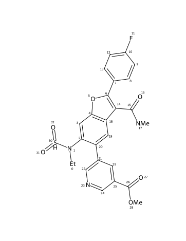 CCN(c1cc2oc(-c3ccc(F)cc3)c(C(=O)NC)c2cc1-c1cncc(C(=O)OC)c1)[SH](=O)=O